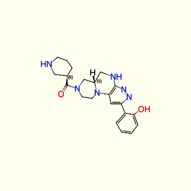 O=C([C@@H]1CCCNC1)N1CCN2c3cc(-c4ccccc4O)nnc3NC[C@H]2C1